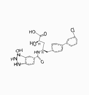 O=C(N[C@H](Cc1ccc(-c2cccc(Cl)c2)cc1)C[C@@H](O)C(=O)O)c1ccc2c(c1)N(O)NN2